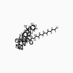 CCCCCCCCCCCCCC(=O)OCC1(NCCCC[Si](c2ccccc2)(c2ccccc2)C(C)(C)C)N=C2N=CN=C2C(=O)N1